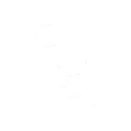 Oc1ccc(NCc2ccccc2)c(O)c1